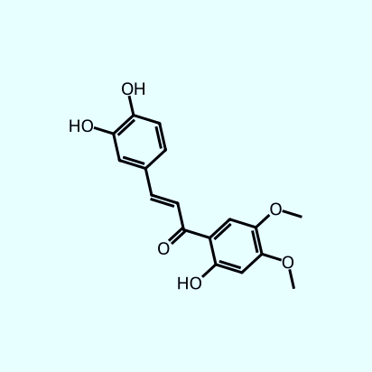 COc1cc(O)c(C(=O)/C=C/c2ccc(O)c(O)c2)cc1OC